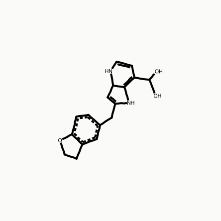 OC(O)C1=C2NC(Cc3ccc4c(c3)CCO4)=CC2NC=C1